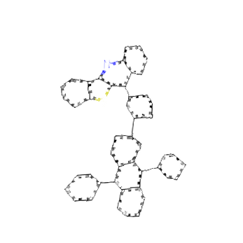 c1ccc(-c2c3ccccc3c(-c3ccccc3)c3cc(-c4cccc(-c5c6ccccc6nc6c5sc5ccccc56)c4)ccc23)cc1